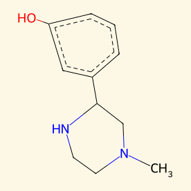 CN1CCNC(c2cccc(O)c2)C1